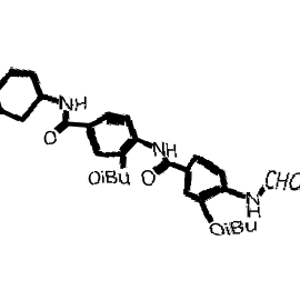 CC(C)COc1cc(C(=O)Nc2ccc(C(=O)NC3CCCCC3)cc2OCC(C)C)ccc1NC=O